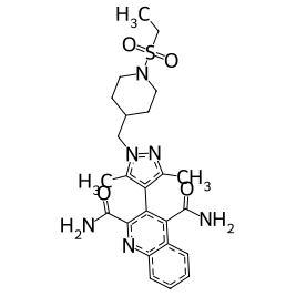 CCS(=O)(=O)N1CCC(Cn2nc(C)c(-c3c(C(N)=O)nc4ccccc4c3C(N)=O)c2C)CC1